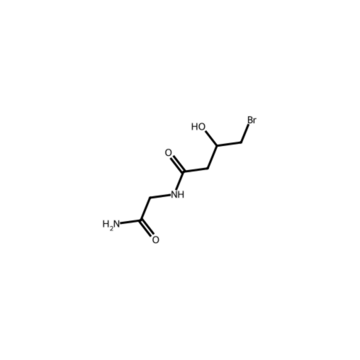 NC(=O)CNC(=O)CC(O)CBr